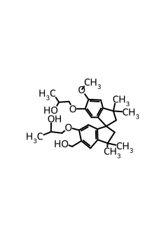 COc1cc2c(cc1OCC(C)O)C1(CC(C)(C)c3cc(CO)c(OCC(C)O)cc31)CC2(C)C